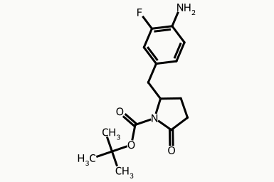 CC(C)(C)OC(=O)N1C(=O)CCC1Cc1ccc(N)c(F)c1